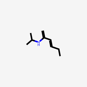 C=C(/C=C/CC)NC(C)C